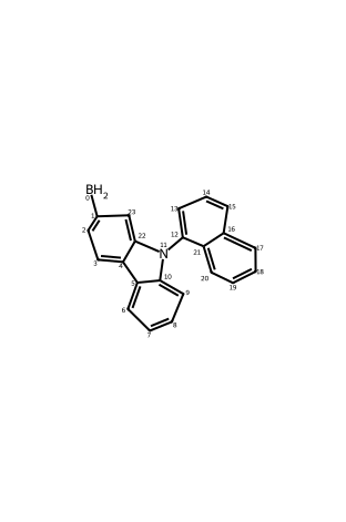 Bc1ccc2c3ccccc3n(-c3cccc4ccccc34)c2c1